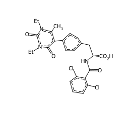 CCn1c(C)c(-c2ccc(C[C@H](NC(=O)c3c(Cl)cccc3Cl)C(=O)O)cc2)c(=O)n(CC)c1=O